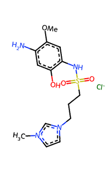 COc1cc(NS(=O)(=O)CCCn2cc[n+](C)c2)c(O)cc1N.[Cl-]